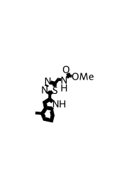 COC(=O)NCc1nnc(-c2cc3c(C)cccc3[nH]2)s1